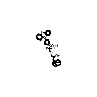 Fc1ccccc1[S+](c1ccccc1)c1ccccc1.O=S(=O)(O)C(F)(F)COCC(O)CC12CC3CC(CC(C3)C1)C2